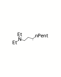 CCCCC[CH]CCN(CC)CC